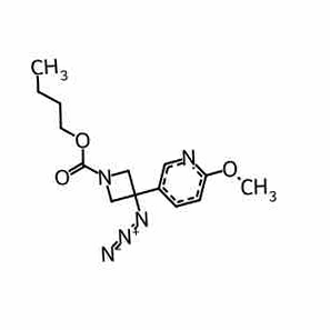 CCCCOC(=O)N1CC(N=[N+]=[N-])(c2ccc(OC)nc2)C1